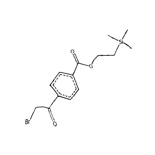 C[Si](C)(C)CCOC(=O)c1ccc(C(=O)CBr)cc1